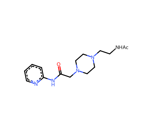 CC(=O)NCCN1CCN(CC(=O)Nc2ccccn2)CC1